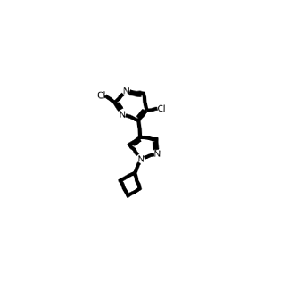 Clc1ncc(Cl)c(-c2cnn(C3CCC3)c2)n1